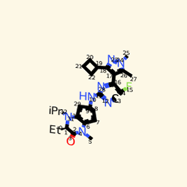 CC[C@@H]1C(=O)N(C)c2ccc(Nc3ncc(F)c(-c4c(C5CCC5)nn(C)c4C)n3)cc2N1C(C)C